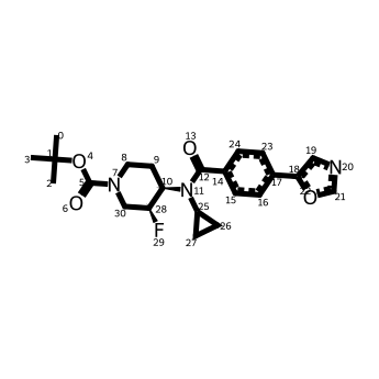 CC(C)(C)OC(=O)N1CC[C@@H](N(C(=O)c2ccc(-c3cnco3)cc2)C2CC2)[C@@H](F)C1